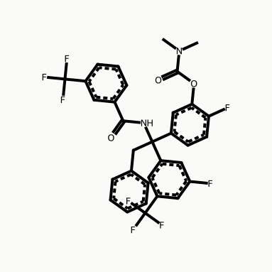 CN(C)C(=O)Oc1cc(C(Cc2ccccc2)(NC(=O)c2cccc(C(F)(F)F)c2)c2cc(F)cc(C(F)(F)F)c2)ccc1F